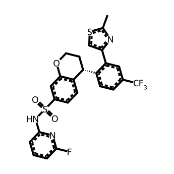 Cc1nc(-c2cc(C(F)(F)F)ccc2[C@H]2CCOc3cc(S(=O)(=O)Nc4cccc(F)n4)ccc32)cs1